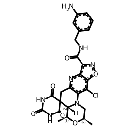 C[C@@H]1CN2c3c(nc4c(C(=O)NCc5cccc(N)c5)noc4c3Cl)CC3(C(=O)NC(=O)NC3=O)[C@H]2[C@H](C)O1